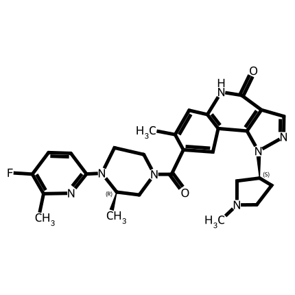 Cc1cc2[nH]c(=O)c3cnn([C@H]4CCN(C)C4)c3c2cc1C(=O)N1CCN(c2ccc(F)c(C)n2)[C@H](C)C1